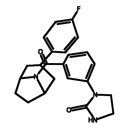 O=C1NCCN1c1cccc(C(=O)N2C3CCC2CC(c2ccc(F)cc2)C3)c1